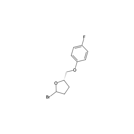 Fc1ccc(OC[C@@H]2CCC(Br)O2)cc1